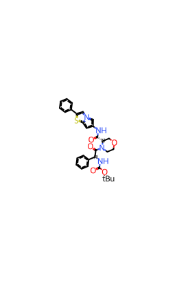 CC(C)(C)OC(=O)N[C@@H](C(=O)N1CCOC[C@H]1C(=O)Nc1cc2sc(-c3ccccc3)cn2c1)c1ccccc1